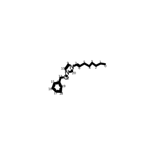 CCCCCCC=CN1C=CN(OCc2ccccc2)C1